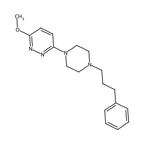 COc1ccc(N2CCN(CCCc3ccccc3)CC2)nn1